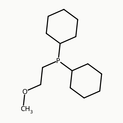 COCCP(C1CCCCC1)C1CCCCC1